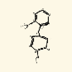 Oc1ccccc1-c1ccc(Cl)cc1